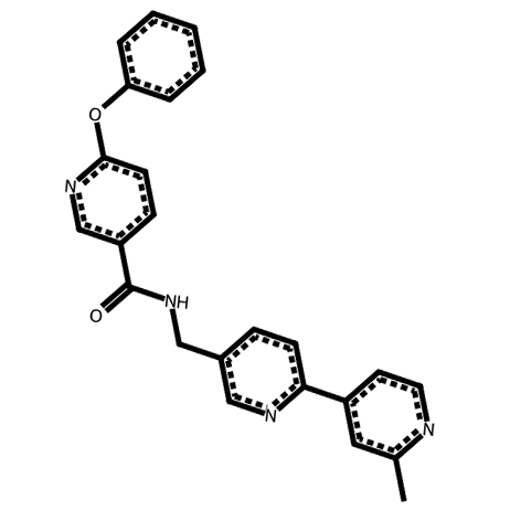 Cc1cc(-c2ccc(CNC(=O)c3ccc(Oc4ccccc4)nc3)cn2)ccn1